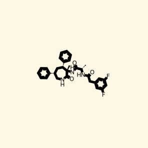 C[C@H](NC(=O)Cc1cc(F)cc(F)c1)C(=O)N[C@]1(C)C(=O)NC[C@H](c2ccccc2)C[C@@H]1c1ccccc1